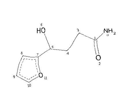 NC(=O)CCC(O)c1ccco1